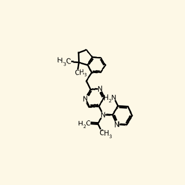 C=C(C)N(c1cnc(Cc2cccc3c2C(C)(C)CC3)nc1)c1ncccc1N